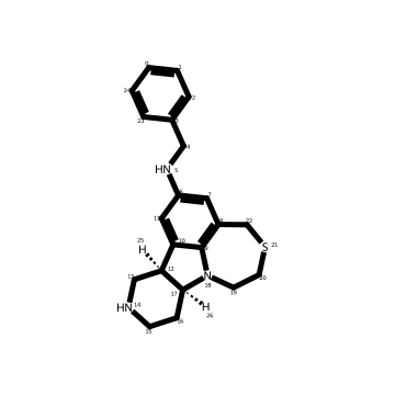 c1ccc(CNc2cc3c4c(c2)[C@@H]2CNCC[C@@H]2N4CCSC3)cc1